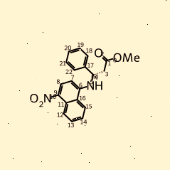 COC(=O)C[C@H](Nc1ccc([N+](=O)[O-])c2ccccc12)c1ccccc1